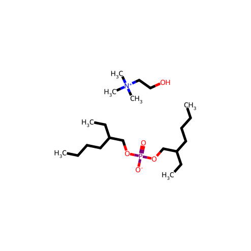 CCCCC(CC)COP(=O)([O-])OCC(CC)CCCC.C[N+](C)(C)CCO